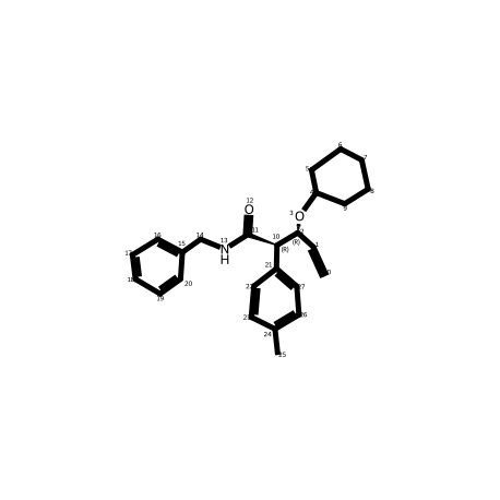 C=C[C@@H](OC1CCCCC1)[C@H](C(=O)NCc1ccccc1)c1ccc(C)cc1